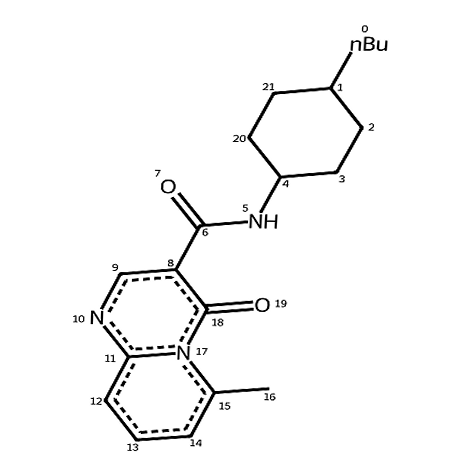 CCCCC1CCC(NC(=O)c2cnc3cccc(C)n3c2=O)CC1